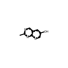 Cc1ncc2cc(O)cnc2n1